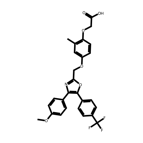 COc1ccc(-c2nc(COc3ccc(OCC(=O)O)c(C)c3)oc2-c2ccc(C(F)(F)F)cc2)cc1